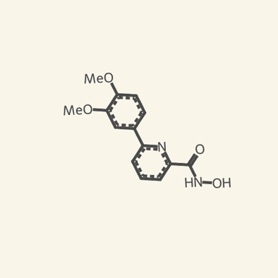 COc1ccc(-c2cccc(C(=O)NO)n2)cc1OC